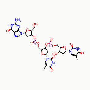 Cc1cn([C@H]2CC(O)[C@@H](CO[PH](=O)OC3C[C@H](n4cc(C)c(=O)[nH]c4=O)O[C@@H]3CO[PH](=S)OC3C[C@H](n4cnc5c(=O)[nH]c(N)nc54)O[C@@H]3CO)O2)c(=O)[nH]c1=O